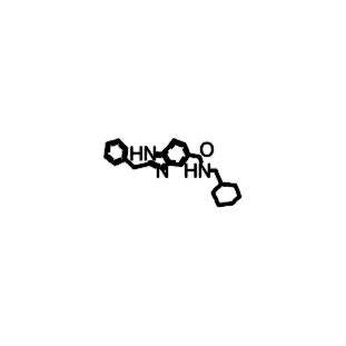 O=C(NCC1CCCCC1)c1ccc2[nH]c(Cc3ccccc3)nc2c1